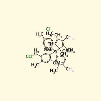 COc1cc(C)c(C)cc1[Si](c1cc(C)c(C)cc1OC)(c1cc(C)c(C)cc1OC)C1(C)C(C)=C(C)C(C)=[C]1[Ti+3].[Cl-].[Cl-].[Cl-]